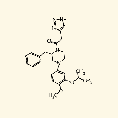 COc1ccc(N2CCN(C(=O)Cc3nn[nH]n3)C(Cc3ccccc3)C2)cc1OC(C)C